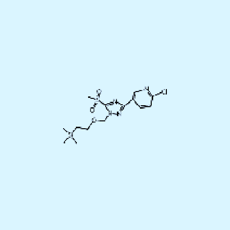 C[Si](C)(C)CCOCn1nc(-c2ccc(Cl)nc2)nc1S(C)(=O)=O